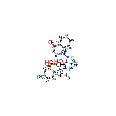 CC(C)(CC(O)(Cn1ccc(=O)c2ccccc21)C(F)(F)F)c1ccc(F)cc1O